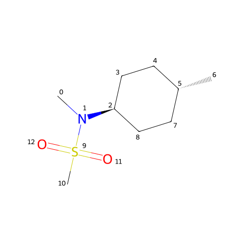 CN([C@H]1CC[C@H](C)CC1)S(C)(=O)=O